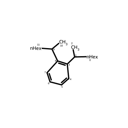 CCCCCCC(C)c1[c]cc[c]c1C(C)CCCCCC